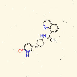 C[C@@H](NC1CC[C@H](c2ccc(=O)[nH]c2)C1)c1cccc2cccnc12